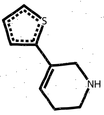 C1=C(c2cccs2)CNCC1